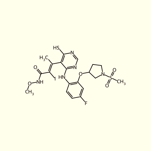 CONC(=O)/C(I)=C(\C)c1c(S)ncnc1Nc1ccc(F)cc1OC1CCN(S(C)(=O)=O)C1